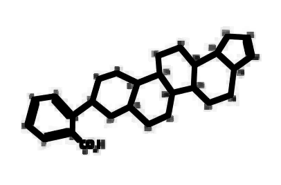 O=C(O)c1ccccc1C1CCC2C(CCC3C2CCC2C4CC=CC4CCC23)C1